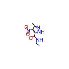 CCNC(=O)c1[nH]nc(C)c1[N+](=O)[O-]